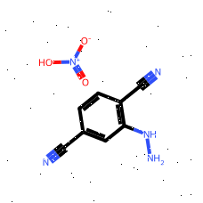 N#Cc1ccc(C#N)c(NN)c1.O=[N+]([O-])O